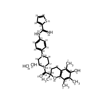 Cc1c(C)c2c(c(C)c1O)CC[C@@](C)(C(=O)N1CCN(c3ccc(NC(=N)c4cccs4)cc3)CC1)O2.Cl.Cl